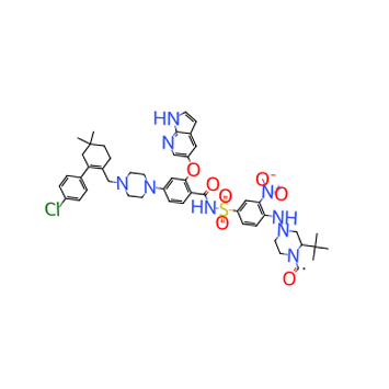 CC1(C)CCC(CN2CCN(c3ccc(C(=O)NS(=O)(=O)c4ccc(NN5CCN([C]=O)C(C(C)(C)C)C5)c([N+](=O)[O-])c4)c(Oc4cnc5[nH]ccc5c4)c3)CC2)=C(c2ccc(Cl)cc2)C1